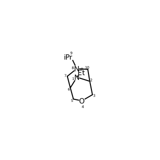 CCN1C2COCC1CN(C(C)C)C2